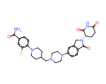 NC(=O)c1ccc(N2CCC(CN3CCN(c4ccc5c(c4)CN([C@H]4CCC(=O)NC4=O)C5=O)CC3)CC2)c(F)c1